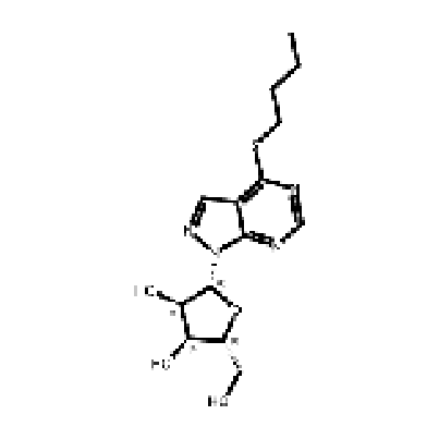 CCCCSc1ncnc2c1cnn2[C@@H]1O[C@H](CO)[C@@H](O)[C@H]1O